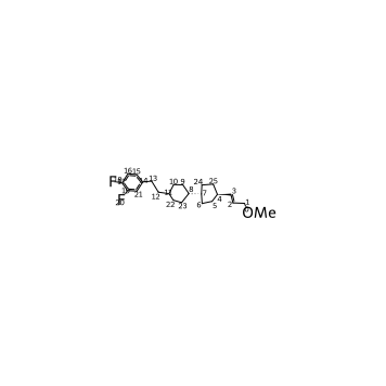 COC/C=C/[C@H]1CC[C@H](C2CCC(CCc3ccc(F)c(F)c3)CC2)CC1